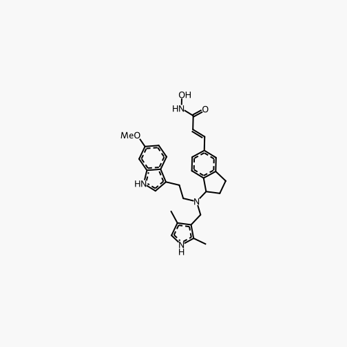 COc1ccc2c(CCN(Cc3c(C)c[nH]c3C)C3CCc4cc(C=CC(=O)NO)ccc43)c[nH]c2c1